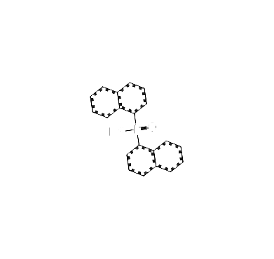 O=P(S)(c1cccc2ccccc12)c1cccc2ccccc12